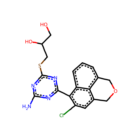 Nc1nc(SCC(O)CO)nc(-c2c(Cl)cc3c4c(cccc24)COC3)n1